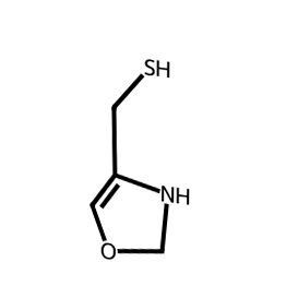 SCC1=COCN1